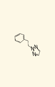 c1ccc(CCn2nccn2)cc1